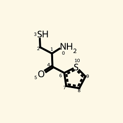 NC(CS)C(=O)c1cccs1